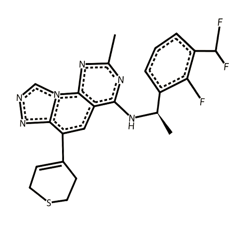 Cc1nc(N[C@H](C)c2cccc(C(F)F)c2F)c2cc(C3=CCSCC3)c3nncn3c2n1